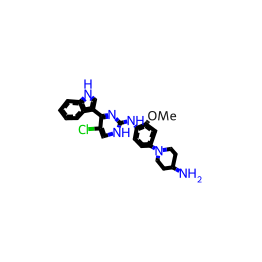 COc1cc(N2CCC(N)CC2)ccc1NC1N=C(c2c[nH]c3ccccc23)C(Cl)=CN1